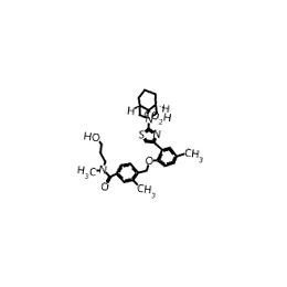 Cc1ccc(OCc2ccc(C(=O)N(C)CCCO)cc2C)c(-c2csc(N3C[C@@H]4CCC[C@@H](C3)C4C(=O)O)n2)c1